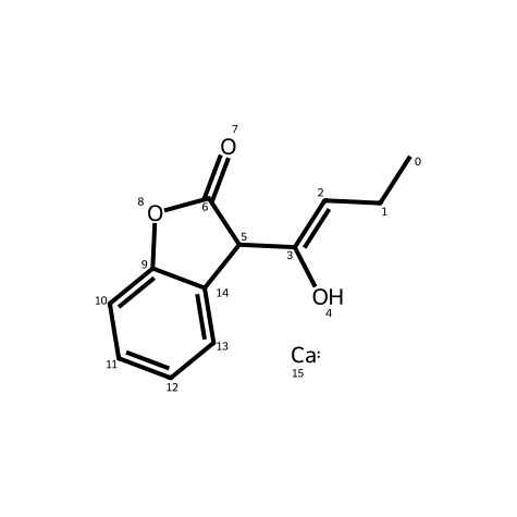 CC/C=C(\O)C1C(=O)Oc2ccccc21.[Ca]